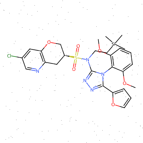 COc1cccc(OC)c1-n1c(-c2ccco2)nnc1N(CC[Si](C)(C)C)S(=O)(=O)[C@@H]1COc2cc(Cl)cnc2C1